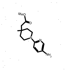 COC(=O)CC1(C)CCN(c2ccc(N)cn2)CC1